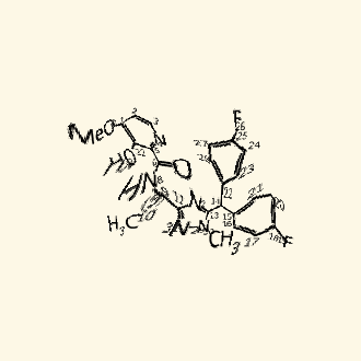 COc1ccnc(C(=O)N[C@@H](C)c2nc(C(c3ccc(F)cc3)c3ccc(F)cc3)n(C)n2)c1O